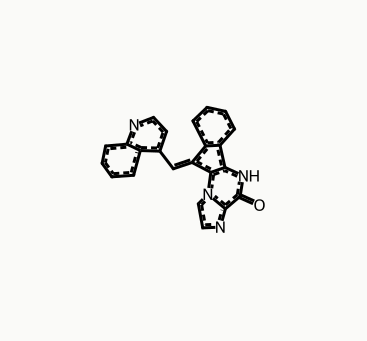 O=c1[nH]c2c3ccccc3c(=Cc3ccnc4ccccc34)c2n2ccnc12